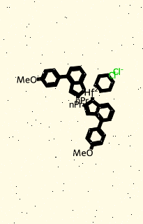 CCCC1=Cc2c(-c3ccc(OC)cc3)cccc2[CH]1[Hf+2]1([CH]2C(CCC)=Cc3c(-c4ccc(OC)cc4)cccc32)[CH]2CCCC[CH]21.[Cl-].[Cl-]